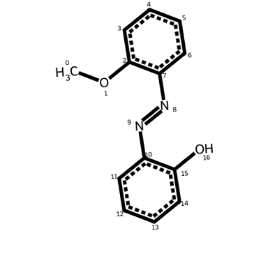 COc1ccccc1N=Nc1ccccc1O